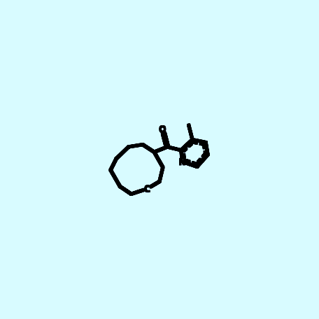 Cc1cccnc1C(=O)C1CCCCCCCCC1